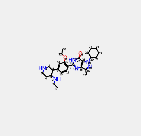 CCNC1CCNCC1c1ccc(-c2nc3c(C)nn(C4CCCCC4)c3c(=O)[nH]2)c(OCC)c1